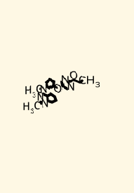 CCC(=O)c1ncc(Oc2cccc(N(C)c3nc(C)nc4ccccc34)c2)cn1